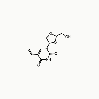 C=Cc1cn([C@H]2CO[C@@H](CO)O2)c(=O)[nH]c1=O